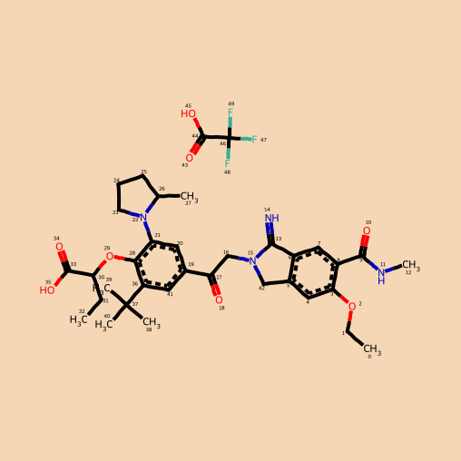 CCOc1cc2c(cc1C(=O)NC)C(=N)N(CC(=O)c1cc(N3CCCC3C)c(OC(CC)C(=O)O)c(C(C)(C)C)c1)C2.O=C(O)C(F)(F)F